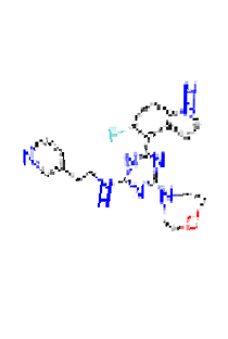 Fc1ccc2[nH]ccc2c1-c1nc(NCCc2cccnc2)nc(N2CCOCC2)n1